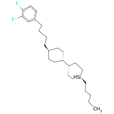 CCCCC[Si@H]1CC[C@H]([C@H]2CC[C@H](CCCCc3ccc(F)c(F)c3)CC2)CC1